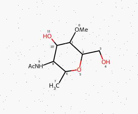 COC1C(CO)OC(C)C(NC(C)=O)C1O